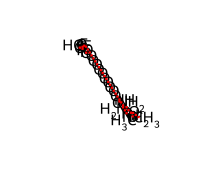 CCCN(OCC)C(=O)C1=Cc2ccc(/C(N)=C/C=C(\N)C(=O)NCCOCCOCCOCCOCCOCCOCCOCCOCCOCCOCCC(=O)Oc3c(F)c(F)c(S(=O)(=O)O)c(F)c3F)cc2N=C(N)C1